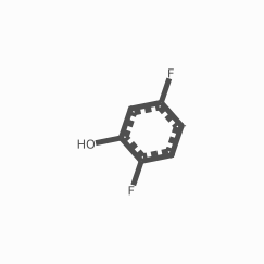 Oc1cc(F)[c]cc1F